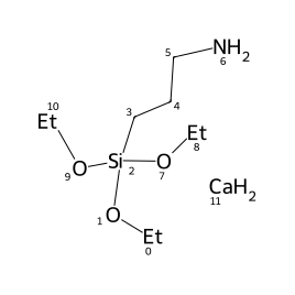 CCO[Si](CCCN)(OCC)OCC.[CaH2]